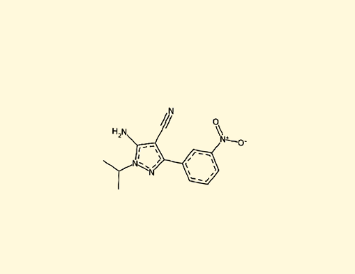 CC(C)n1nc(-c2cccc([N+](=O)[O-])c2)c(C#N)c1N